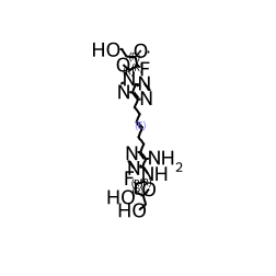 CO[C@@H]1C(CO)O[C@@H](n2cnc3c(CC/C=C/CCc4ncnc(N[C@@H]5OC(CO)[C@@H](O)[C@H]5F)c4N)ncnc32)[C@@H]1F